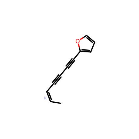 C/C=C\C#CC#Cc1ccco1